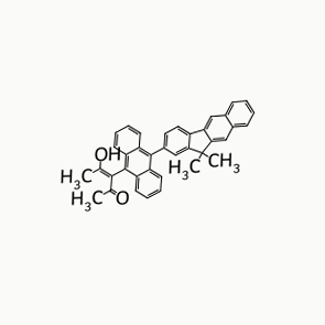 CC(=O)C(=C(C)O)c1c2ccccc2c(-c2ccc3c(c2)C(C)(C)c2cc4ccccc4cc2-3)c2ccccc12